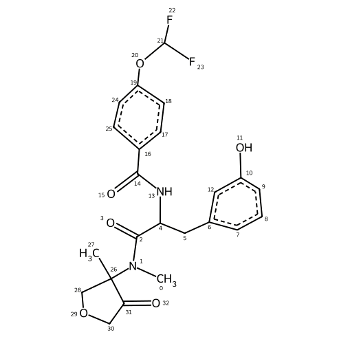 CN(C(=O)C(Cc1cccc(O)c1)NC(=O)c1ccc(OC(F)F)cc1)C1(C)COCC1=O